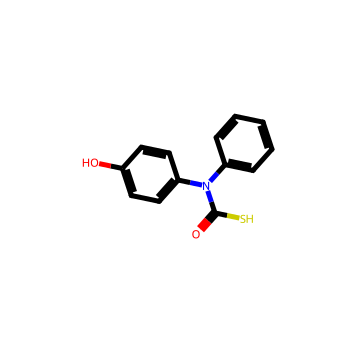 O=C(S)N(c1ccccc1)c1ccc(O)cc1